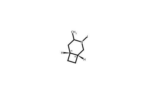 CC1C[C@H]2CC[C@H]2CN1I